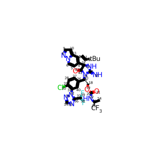 C=C(C(C)(C)C)[C@]1(c2ccn3nccc3c2)NC(=N)N([C@H](COC(=O)N[C@@H](C)C(F)(F)F)c2ccc(Cl)c(-n3ncnc3C(F)F)c2)C1=O